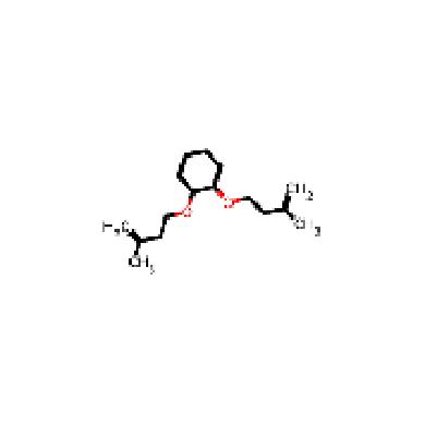 C=C(C)CCOC1CCCCC1OCCC(=C)C